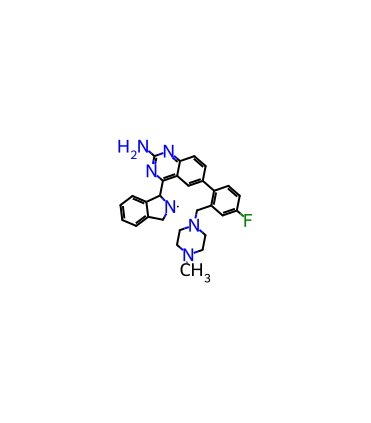 CN1CCN(Cc2cc(F)ccc2-c2ccc3nc(N)nc(C4[N]Cc5ccccc54)c3c2)CC1